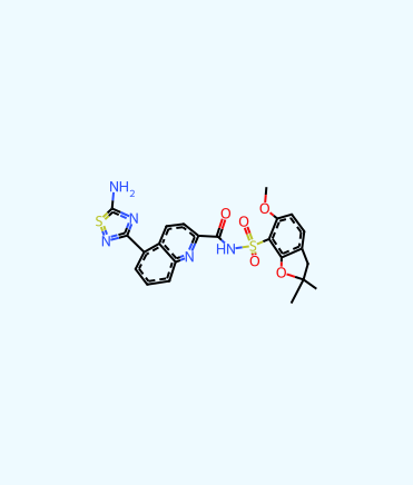 COc1ccc2c(c1S(=O)(=O)NC(=O)c1ccc3c(-c4nsc(N)n4)cccc3n1)OC(C)(C)C2